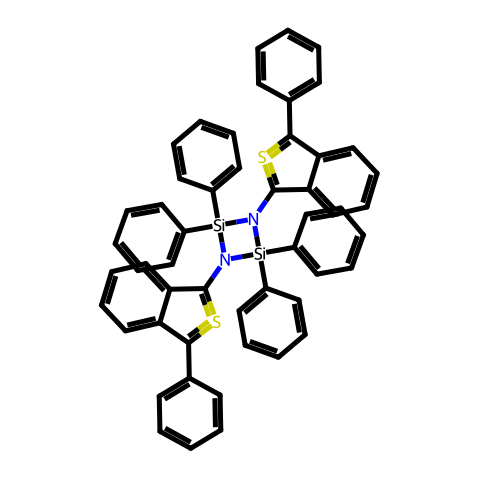 c1ccc(C2=S=C(N3[Si](c4ccccc4)(c4ccccc4)N(C4=S=C(c5ccccc5)c5ccccc54)[Si]3(c3ccccc3)c3ccccc3)c3ccccc32)cc1